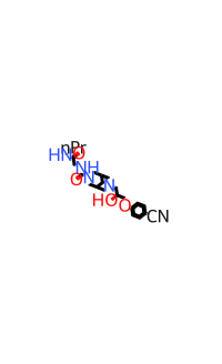 CCCNC(=O)CNC(=O)N1CC2CC(CN(CC(O)COc3ccc(C#N)cc3)C2)C1